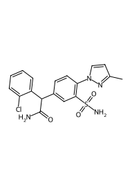 Cc1ccn(-c2ccc(C(C(N)=O)c3ccccc3Cl)cc2S(N)(=O)=O)n1